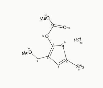 COCc1cc(N)sc1OC(=O)OC.Cl